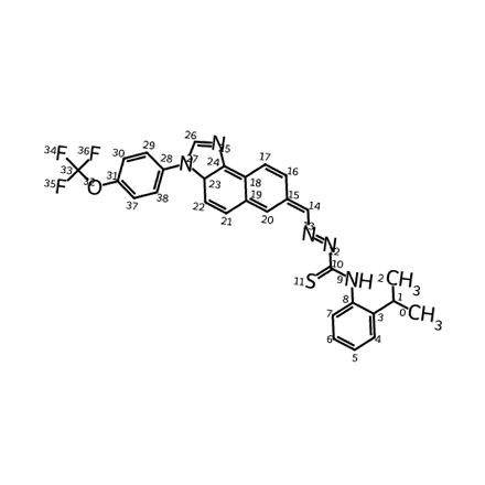 CC(C)c1ccccc1NC(=S)N=NC=c1ccc2c(c1)C=CC1C=2N=CN1c1ccc(OC(F)(F)F)cc1